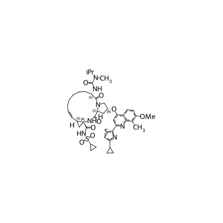 COc1ccc2c(O[C@@H]3C[C@H]4C(=O)N[C@]5(C(=O)NS(=O)(=O)C6CC6)C[C@H]5C=CCCCCC[C@H](NC(=O)N(C)C(C)C)C(=O)N4C3)cc(-c3nc(C4CC4)cs3)nc2c1C